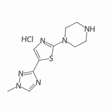 Cl.Cn1cnc(-c2cnc(N3CCNCC3)s2)n1